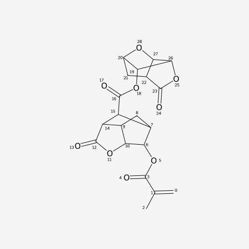 C=C(C)C(=O)OC1C2CC3C1OC(=O)C3C2C(=O)OC1C2CC3C(=O)OC1C3O2